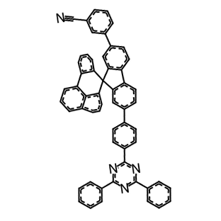 N#Cc1cccc(-c2ccc3c(c2)C2(c4cc(-c5ccc(-c6nc(-c7ccccc7)nc(-c7ccccc7)n6)cc5)ccc4-3)c3ccccc3-c3cccc4cccc2c34)c1